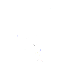 O=C(Nc1ccc(F)c(F)c1)c1ccc(Cl)c(S(=O)(=O)[C@H]2CC3CCC(C2)[C@]3(O)C(O)c2cc(-c3cccnc3)on2)c1